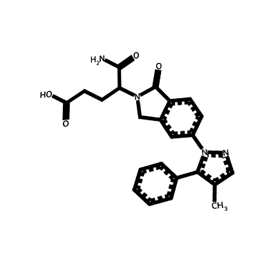 Cc1cnn(-c2ccc3c(c2)CN(C(CCC(=O)O)C(N)=O)C3=O)c1-c1ccccc1